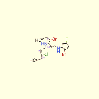 C#C/C=C(Cl)\C=C/CNC(=C/CNc1cc(F)ccc1Br)/C(Br)=C\C#C